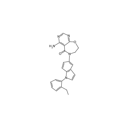 CCc1ccccc1-n1ccc2cc(N3CCOc4ncnc(N)c4C3=O)ccc21